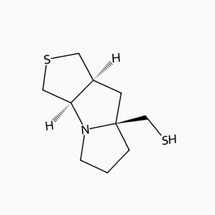 SC[C@@]12CCCN1[C@H]1CSC[C@H]1C2